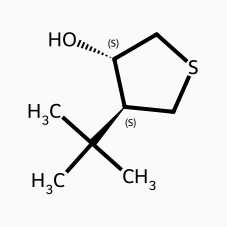 CC(C)(C)[C@@H]1CSC[C@H]1O